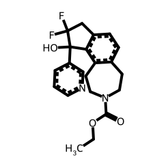 CCOC(=O)N1CCc2ccc3c(c2CC1)C(O)(c1cccnc1)C(F)(F)C3